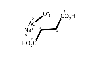 CC(=O)[O-].O=C(O)CCC(=O)O.[Na+]